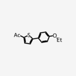 CCOc1ccc(-c2ccc(C(C)=O)s2)cc1